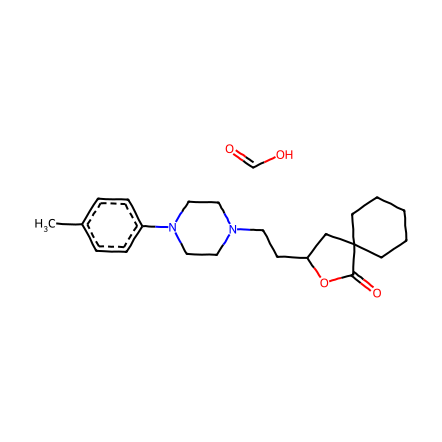 Cc1ccc(N2CCN(CCC3CC4(CCCCC4)C(=O)O3)CC2)cc1.O=CO